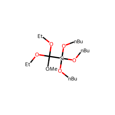 CCCCO[Si](OCCCC)(OCCCC)C(OC)(OCC)OCC